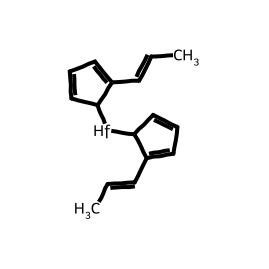 CC=CC1=CC=C[CH]1[Hf][CH]1C=CC=C1C=CC